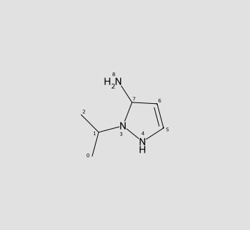 CC(C)N1NC=CC1N